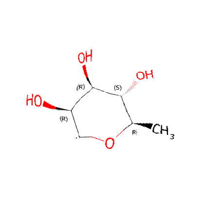 C[C@H]1O[CH][C@@H](O)[C@@H](O)[C@@H]1O